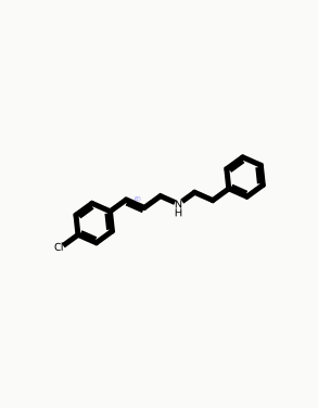 Clc1ccc(/C=C/CNCCc2ccccc2)cc1